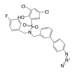 [N-]=[N+]=Nc1ccc(-c2cccc(CN(Cc3ccc(F)cc3)S(=O)(=O)c3cc(Cl)cc(Cl)c3O)c2)cc1